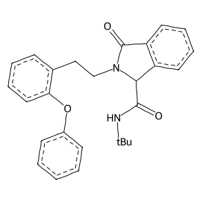 CC(C)(C)NC(=O)C1c2ccccc2C(=O)N1CCc1ccccc1Oc1ccccc1